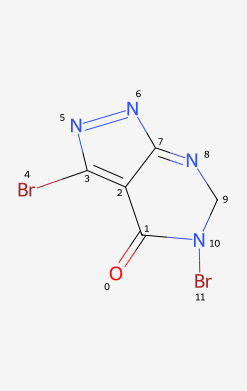 O=C1C2=C(Br)N=NC2=NCN1Br